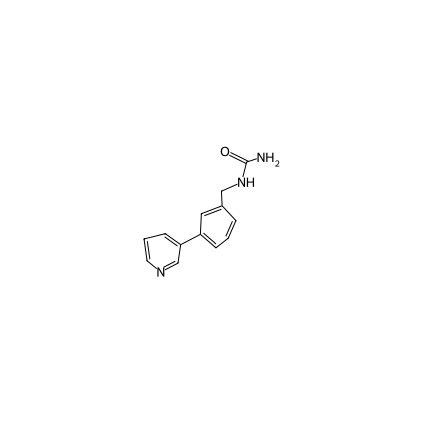 NC(=O)NCc1cccc(-c2cccnc2)c1